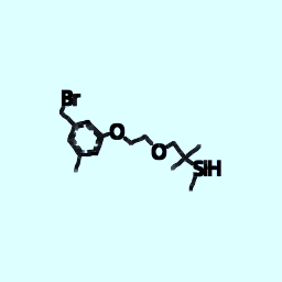 Cc1cc(CBr)cc(OCCOCC(C)(C)[SiH](C)C)c1